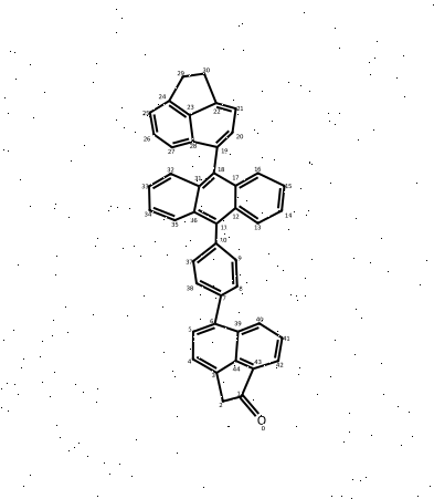 O=C1Cc2ccc(-c3ccc(-c4c5ccccc5c(-c5ccc6c7c(cccc57)CC6)c5ccccc45)cc3)c3cccc1c23